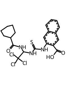 O=C(O)c1cc2ccccc2cc1NC(=S)NC(NC(=O)C1CCCCC1)C(Cl)(Cl)Cl